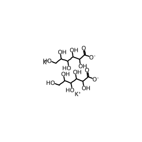 O=C([O-])C(O)C(O)C(O)C(O)CO.O=C([O-])C(O)C(O)C(O)C(O)CO.[K+].[K+]